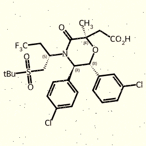 CC(C)(C)S(=O)(=O)C[C@H](CC(F)(F)F)N1C(=O)[C@@](C)(CC(=O)O)O[C@H](c2cccc(Cl)c2)[C@H]1c1ccc(Cl)cc1